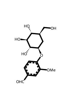 COc1cc(C=O)ccc1O[C@@H]1C[C@H](CO)[C@@H](O)[C@H](O)[C@H]1O